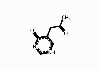 CC(=O)Cc1c[nH]cnc1=O